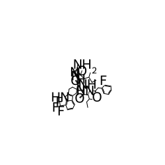 CCC(C)[C@H](NC(=O)Cc1ccccc1F)C(=O)N[C@]1(C(=O)N[C@H](c2nnc(N)o2)C(C)CC)CCc2[nH]c3c(C(F)(F)F)cccc3c2C1